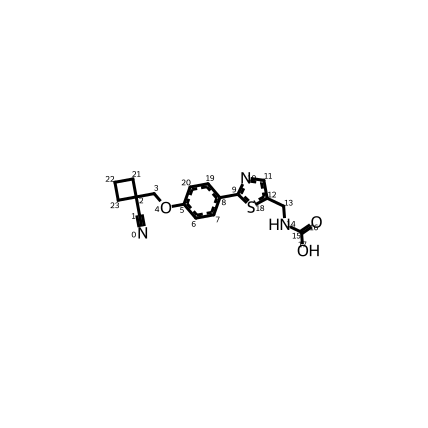 N#CC1(COc2ccc(-c3ncc(CNC(=O)O)s3)cc2)CCC1